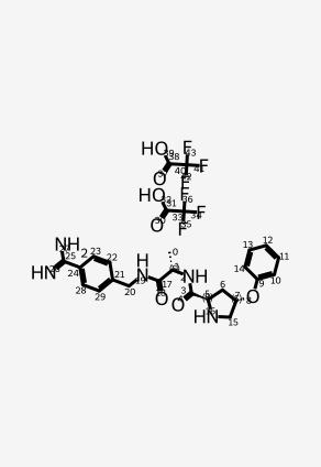 C[C@H](NC(=O)[C@H]1C[C@H](Oc2ccccc2)CN1)C(=O)NCc1ccc(C(=N)N)cc1.O=C(O)C(F)(F)F.O=C(O)C(F)(F)F